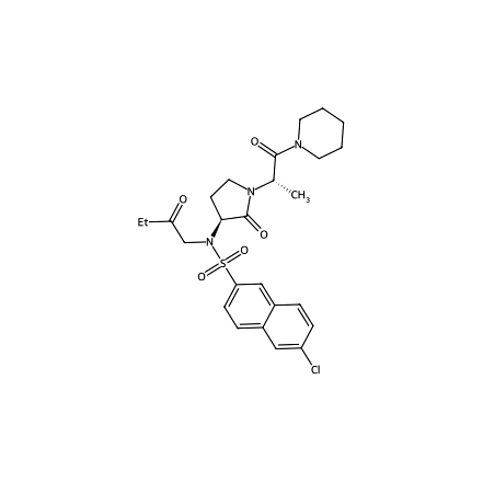 CCC(=O)CN([C@H]1CCN([C@@H](C)C(=O)N2CCCCC2)C1=O)S(=O)(=O)c1ccc2cc(Cl)ccc2c1